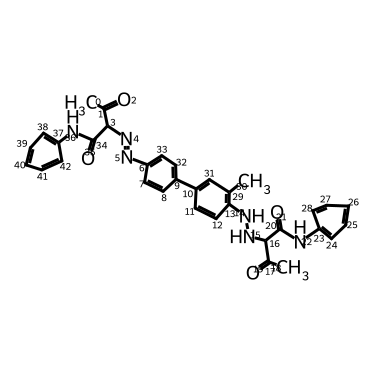 CC(=O)C(/N=N/c1ccc(-c2ccc(NNC(C(C)=O)C(=O)Nc3ccccc3)c(C)c2)cc1)C(=O)Nc1ccccc1